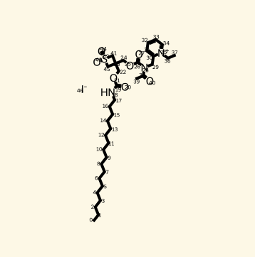 CCCCCCCCCCCCCCCCCCNC(=O)OCC1(COC(=O)N(Cc2cccc[n+]2CC)C(C)=O)CS(=O)(=O)C1.[I-]